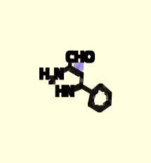 N=C(/C=C(\N)C=O)c1ccccc1